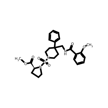 COC(=O)[C@@H]1CCCN1S(=O)(=O)N1CCC(CNC(=O)c2ccccc2OC)(c2ccccc2)CC1